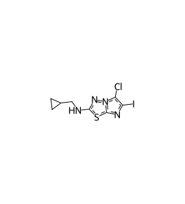 Clc1c(I)nc2sc(NCC3CC3)nn12